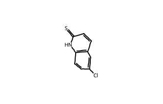 S=c1ccc2cc(Cl)ccc2[nH]1